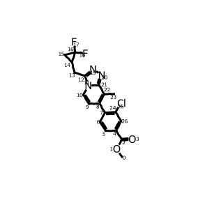 COC(=O)c1ccc(-c2ccn3c(CC4CC4(F)F)nnc3c2C)c(Cl)c1